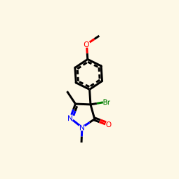 COc1ccc(C2(Br)C(=O)N(C)N=C2C)cc1